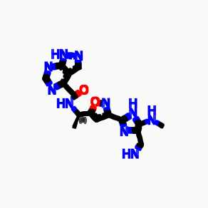 CNc1[nH]c(-c2cc([C@@H](C)NC(=O)c3ncnc4[nH]ncc34)on2)nc1C=N